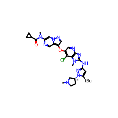 CN1CC[C@@H](n2nc(Nc3nc4ncc(Oc5cnn6cc(N(C)C(=O)C7CC7)ncc56)c(Cl)c4n3C)cc2C(C)(C)C)C1